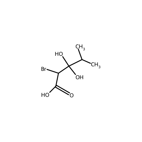 CC(C)C(O)(O)C(Br)C(=O)O